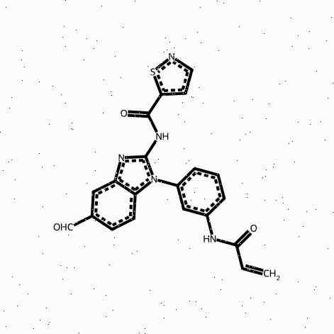 C=CC(=O)Nc1cccc(-n2c(NC(=O)c3ccns3)nc3cc(C=O)ccc32)c1